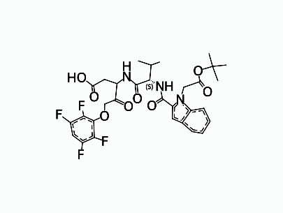 CC(C)[C@H](NC(=O)c1cc2ccccc2n1CC(=O)OC(C)(C)C)C(=O)NC(CC(=O)O)C(=O)COc1c(F)c(F)cc(F)c1F